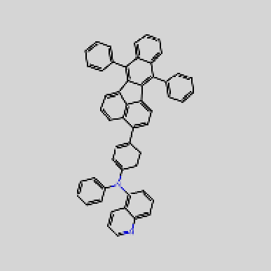 C1=C(c2ccc3c4c(cccc24)-c2c-3c(-c3ccccc3)c3ccccc3c2-c2ccccc2)CCC(N(c2ccccc2)c2cccc3ncccc23)=C1